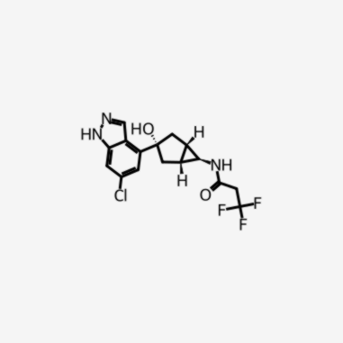 O=C(CC(F)(F)F)N[C@H]1[C@@H]2C[C@@](O)(c3cc(Cl)cc4[nH]ncc34)C[C@@H]21